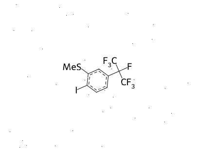 CSc1cc(C(F)(C(F)(F)F)C(F)(F)F)ccc1I